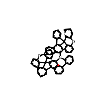 c1ccc(-c2ccccc2N(c2ccc3c(c2)C2(c4ccccc4Oc4ccccc42)c2ccccc2-3)c2cc3c(c4ccccc24)-c2ccccc2C32c3ccccc3Oc3ccccc32)cc1